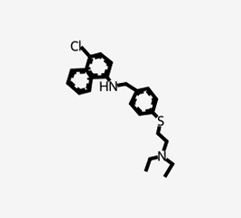 CCN(CC)CCSc1ccc(CNc2ccc(Cl)c3ccccc23)cc1